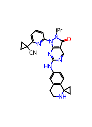 CC(C)n1c(=O)c2cnc(Nc3ccc4c(c3)CCNC43CC3)nc2n1-c1cccc(C2(C#N)CC2)n1